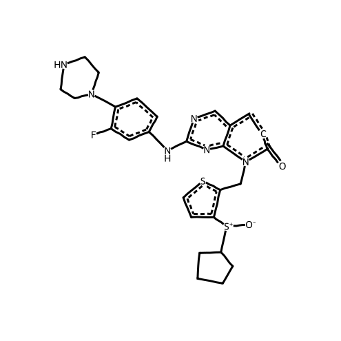 O=c1ccc2cnc(Nc3ccc(N4CCNCC4)c(F)c3)nc2n1Cc1sccc1[S+]([O-])C1CCCC1